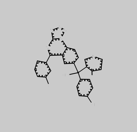 OC(c1ccc(Cl)cc1)(c1ccc2c(c1)c(-c1cccc(Cl)c1)nc1nnnn12)c1cnccc1Cl